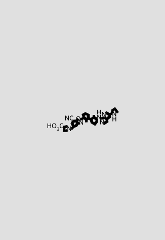 Cc1c(Nc2nccc3cc(C4CCCN4)cnc23)cccc1-c1cccc(-c2nc3cc(CN4CC[C@@H](C(=O)O)C4)cc(C#N)c3o2)c1C